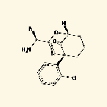 CC(C)[C@H](N)C1=N[C@@]2(c3ccccc3Cl)CCC[C@@H](O1)C2=O